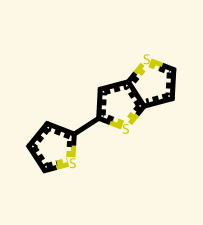 c1csc(-c2cc3sccc3s2)c1